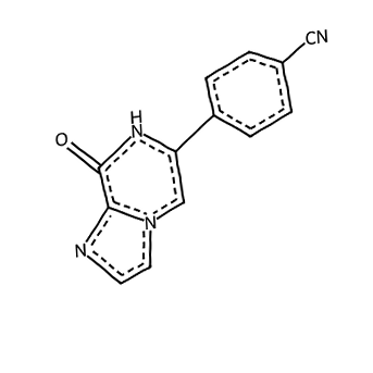 N#Cc1ccc(-c2cn3ccnc3c(=O)[nH]2)cc1